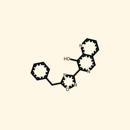 Oc1c(-c2noc(Cc3ccccc3)n2)ncc2cccnc12